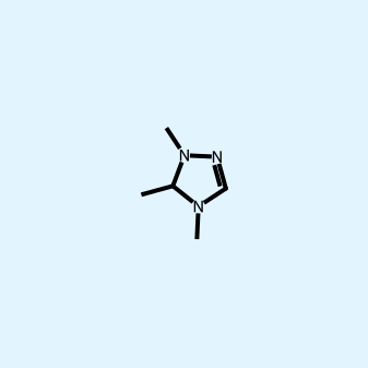 CC1N(C)C=NN1C